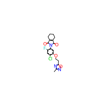 Cc1noc(CCOc2cc(N3C(=O)C4=C(CCCC4)C3=O)c(F)cc2Cl)n1